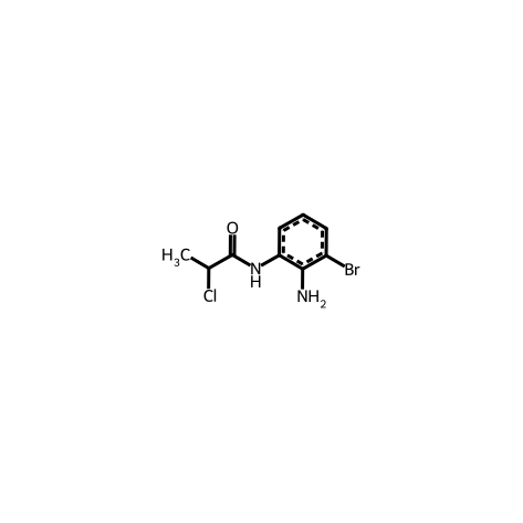 CC(Cl)C(=O)Nc1cccc(Br)c1N